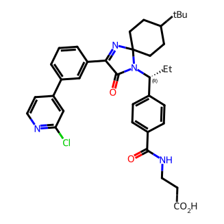 CC[C@H](c1ccc(C(=O)NCCC(=O)O)cc1)N1C(=O)C(c2cccc(-c3ccnc(Cl)c3)c2)=NC12CCC(C(C)(C)C)CC2